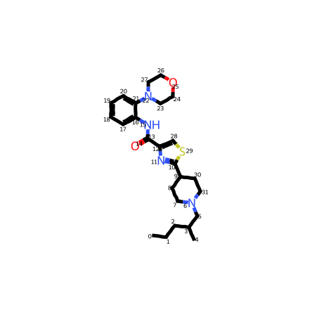 CCCC(C)CN1CCC(c2nc(C(=O)Nc3ccccc3N3CCOCC3)cs2)CC1